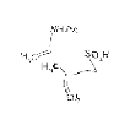 C=C(C)CS(=O)(=O)O.C=CNC(C)=O